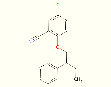 CCC(COc1ccc(Cl)cc1C#N)c1ccccc1